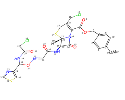 COc1ccc(COC(=O)C2=C(CCl)CS[C@H]3[C@H](NC(=O)C=NOC(NC(=O)CCl)c4cscn4)C(=O)N23)cc1